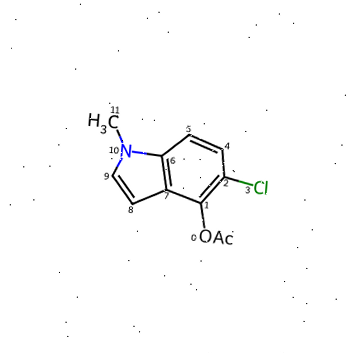 CC(=O)Oc1c(Cl)ccc2c1ccn2C